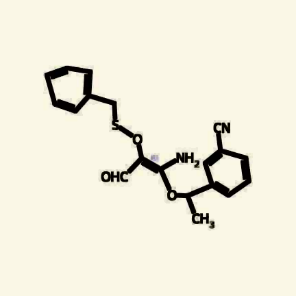 CC(O/C(N)=C(\C=O)OSCc1ccccc1)c1cccc(C#N)c1